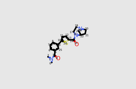 CN(C)C(=O)c1cccc(-c2ccc(C(=O)N3CC[N@@]4CCC3C4)s2)c1